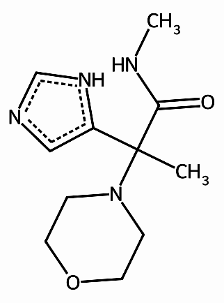 CNC(=O)C(C)(c1cnc[nH]1)N1CCOCC1